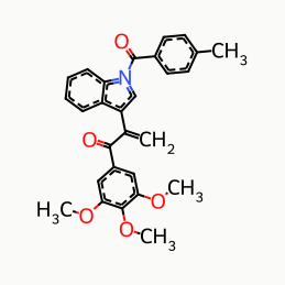 C=C(C(=O)c1cc(OC)c(OC)c(OC)c1)c1cn(C(=O)c2ccc(C)cc2)c2ccccc12